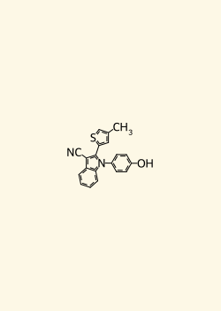 Cc1csc(-c2c(C#N)c3ccccc3n2-c2ccc(O)cc2)c1